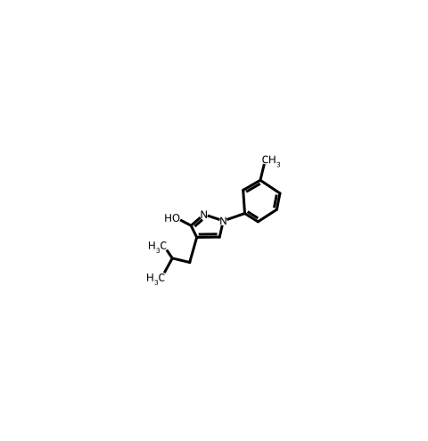 Cc1cccc(-n2cc(CC(C)C)c(O)n2)c1